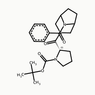 CC(C)(C)OC(=O)N1CCC[C@H]1C(=O)N1CC2CCC(C1)N2C(=O)c1ccccc1